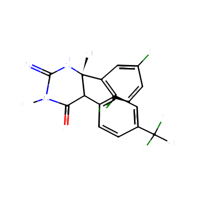 CN1C(=N)N[C@](C)(c2cc(Br)ccc2Cl)C(c2ccc(C(C)(F)F)cc2)C1=O